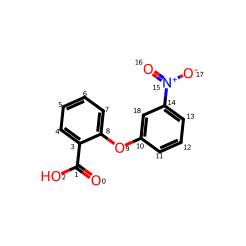 O=C(O)c1ccccc1Oc1cccc([N+](=O)[O-])c1